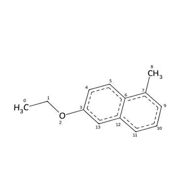 CCOc1ccc2c(C)cccc2c1